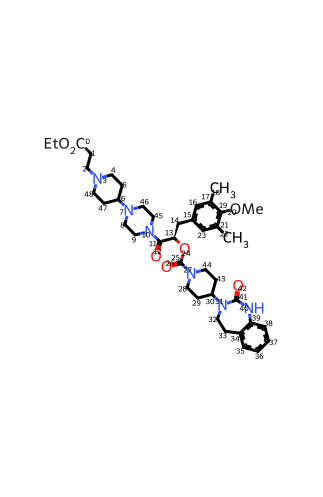 CCOC(=O)CCN1CCC(N2CCN(C(=O)[C@@H](Cc3cc(C)c(OC)c(C)c3)OC(=O)N3CCC(N4CCc5ccccc5NC4=O)CC3)CC2)CC1